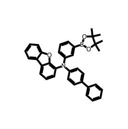 CC1(C)OB(c2cccc(N(c3ccc(-c4ccccc4)cc3)c3cccc4c3oc3ccccc34)c2)OC1(C)C